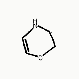 [C]1COC=CN1